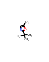 Cc1cnc(C(C)(C)C)o1